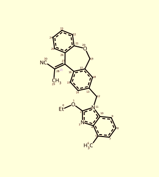 CCOc1nc2c(C)cccc2n1Cc1ccc2c(c1)COc1ccccc1/C2=C(/C)C#N